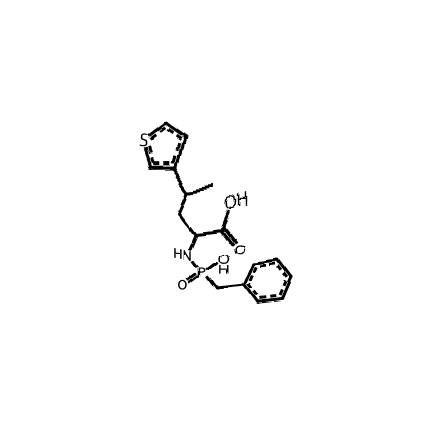 CC(CC(NP(=O)(O)Cc1ccccc1)C(=O)O)c1ccsc1